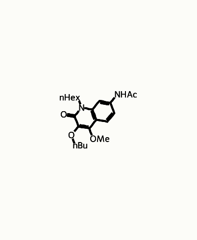 CCCCCCn1c(=O)c(OCCCC)c(OC)c2ccc(NC(C)=O)cc21